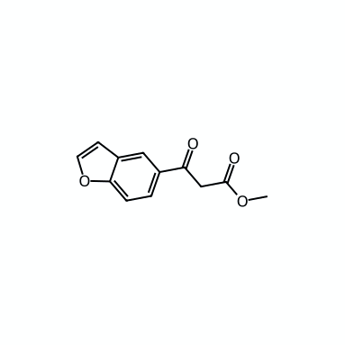 COC(=O)CC(=O)c1ccc2occc2c1